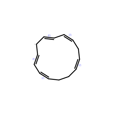 [CH]1/C=C/C=C\C/C=C\CC/C=C\C=C\1